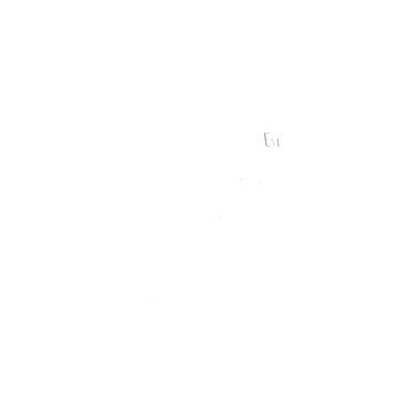 CCC(C)(Br)c1ccccc1